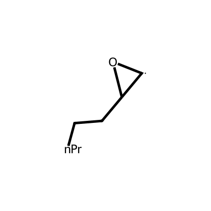 CCCCCC1[CH]O1